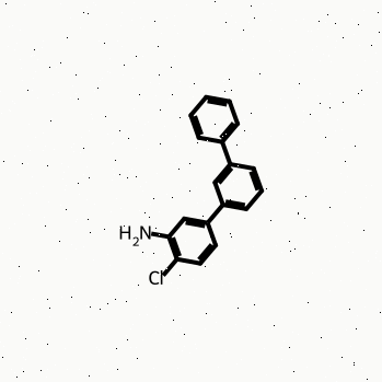 Nc1cc(-c2cccc(-c3ccccc3)c2)ccc1Cl